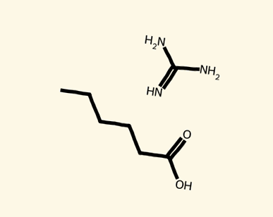 CCCCCC(=O)O.N=C(N)N